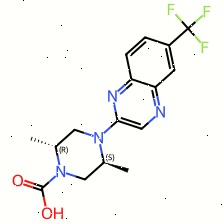 C[C@@H]1CN(c2cnc3cc(C(F)(F)F)ccc3n2)[C@@H](C)CN1C(=O)O